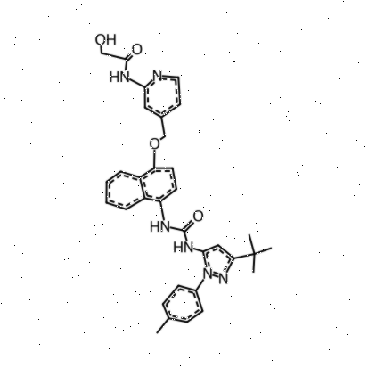 Cc1ccc(-n2nc(C(C)(C)C)cc2NC(=O)Nc2ccc(OCc3ccnc(NC(=O)CO)c3)c3ccccc23)cc1